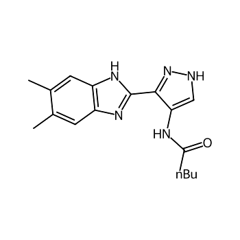 CCCCC(=O)Nc1c[nH]nc1-c1nc2cc(C)c(C)cc2[nH]1